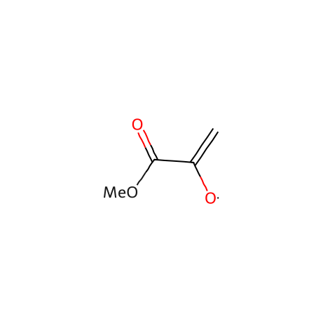 C=C([O])C(=O)OC